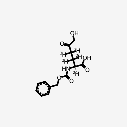 [2H]C([2H])(C(=O)CO)C([2H])([2H])[C@]([2H])(NC(=O)OCc1ccccc1)C(=O)O